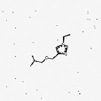 CCn1cc(COCC(C)C)nn1